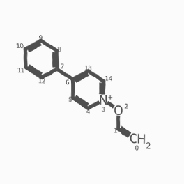 C=CO[n+]1ccc(-c2ccccc2)cc1